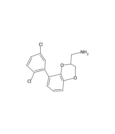 NCC1COc2cccc(-c3cc(Cl)ccc3Cl)c2O1